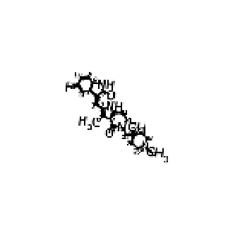 Cc1c(/C=C2\C(=O)Nc3ccc(F)cc32)[nH]c2c1C(=O)N(CC1(O)CCN(C)CC1)CC2